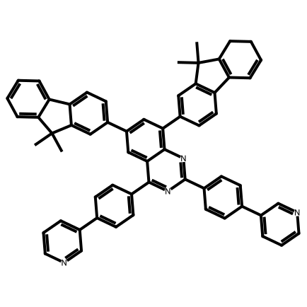 CC1(C)C2=C(C=CCC2)c2ccc(-c3cc(-c4ccc5c(c4)C(C)(C)c4ccccc4-5)cc4c(-c5ccc(-c6cccnc6)cc5)nc(-c5ccc(-c6cccnc6)cc5)nc34)cc21